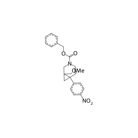 COCC12CN(C(=O)OCc3ccccc3)C=CC1(c1ccc([N+](=O)[O-])cc1)C2